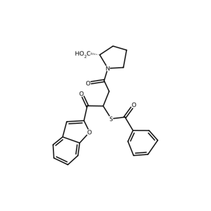 O=C(SC(CC(=O)N1CCC[C@H]1C(=O)O)C(=O)c1cc2ccccc2o1)c1ccccc1